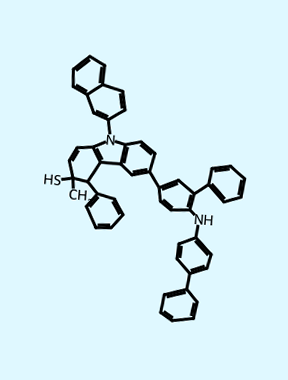 CC1(S)C=Cc2c(c3cc(-c4ccc(Nc5ccc(-c6ccccc6)cc5)c(-c5ccccc5)c4)ccc3n2-c2ccc3ccccc3c2)C1c1ccccc1